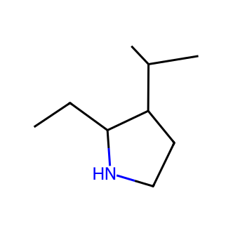 CCC1NCCC1C(C)C